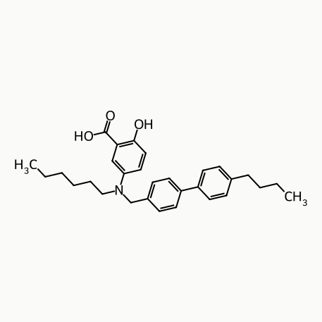 CCCCCCN(Cc1ccc(-c2ccc(CCCC)cc2)cc1)c1ccc(O)c(C(=O)O)c1